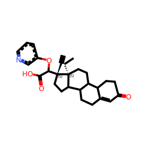 C#C[C@]1(C(Oc2cccnc2)C(=O)O)CCC2C3CCC4=CC(=O)CCC4C3CC[C@@]21CC